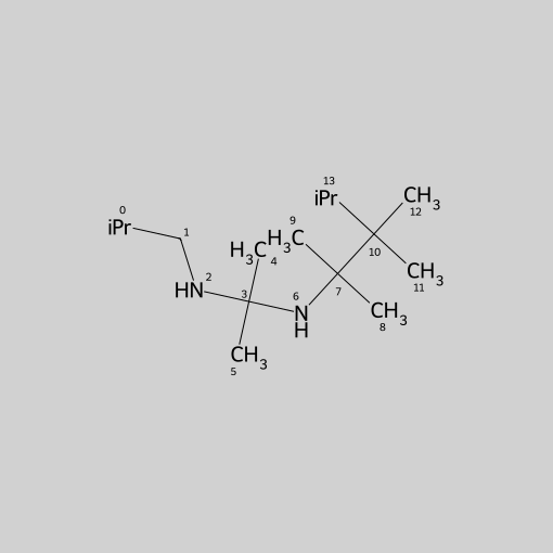 CC(C)CNC(C)(C)NC(C)(C)C(C)(C)C(C)C